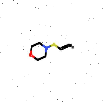 C=CSN1CCOCC1